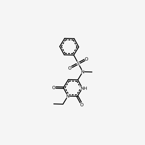 CCn1c(=O)cc(N(C)S(=O)(=O)c2ccccc2)[nH]c1=O